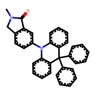 CN1Cc2ccc(N3c4ccccc4C(c4ccccc4)(c4ccccc4)c4ccccc43)cc2C1=O